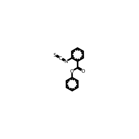 O=C(Oc1ccccc1)c1ccccc1N=C=S